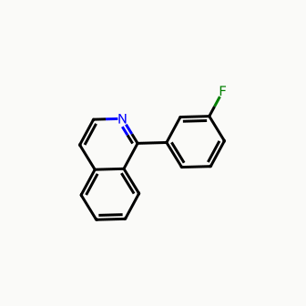 Fc1cccc(-c2nccc3ccccc23)c1